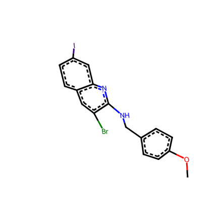 COc1ccc(CNc2nc3cc(I)ccc3cc2Br)cc1